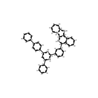 c1ccc(-c2ccc(-c3cc(-c4ccccc4)nc(-c4cccc(-c5nc6c(nc7ccccn76)c6ccccc56)c4)n3)cc2)cc1